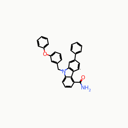 NC(=O)c1cccc2c1c1[c]cc(-c3ccccc3)cc1n2Cc1cccc(Oc2ccccc2)c1